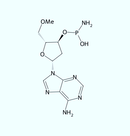 COC[C@H]1O[C@@H](n2cnc3c(N)ncnc32)C[C@@H]1OP(N)O